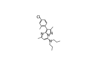 CCCN(CCC)c1cc(C)nc2c(-c3ccc(Cl)cc3C)c(C)nn12